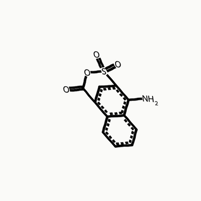 Nc1c2cc(c3ccccc13)C(=O)OS2(=O)=O